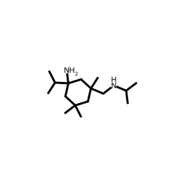 CC(C)NCC1(C)CC(C)(C)CC(N)(C(C)C)C1